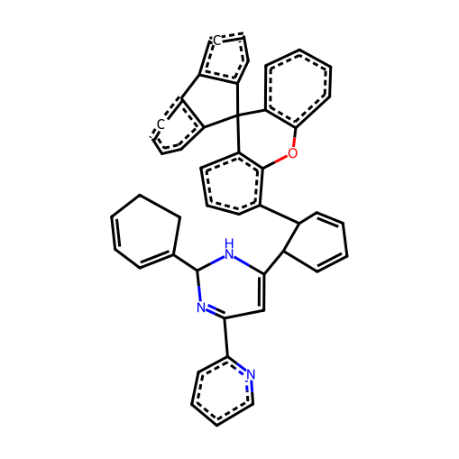 C1=CCCC(C2N=C(c3ccccn3)C=C(C3C=CC=CC3c3cccc4c3Oc3ccccc3C43c4ccccc4-c4ccccc43)N2)=C1